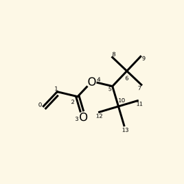 C=CC(=O)OC(C(C)(C)C)C(C)(C)C